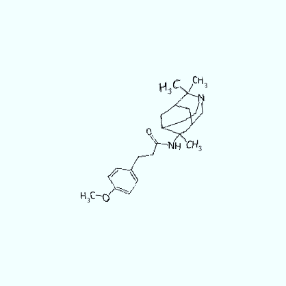 COc1ccc(CCC(=O)NC2(C)C3CC4CC2CN(C3)C4(C)C)cc1